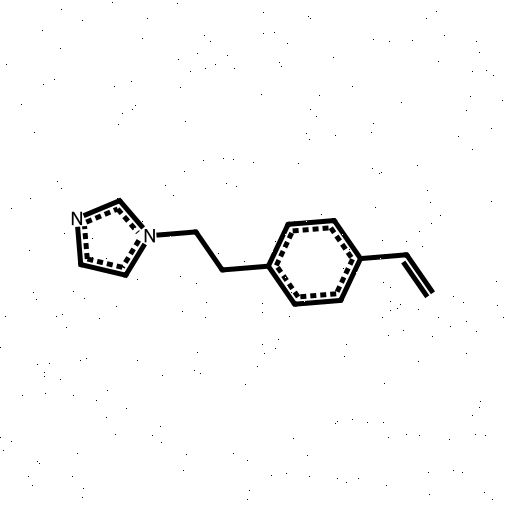 C=Cc1ccc(CCn2ccnc2)cc1